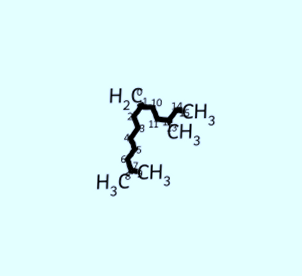 C=C(CCCCCC(C)C)CCC(C)CC